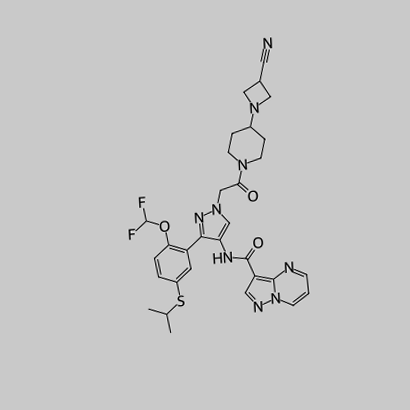 CC(C)Sc1ccc(OC(F)F)c(-c2nn(CC(=O)N3CCC(N4CC(C#N)C4)CC3)cc2NC(=O)c2cnn3cccnc23)c1